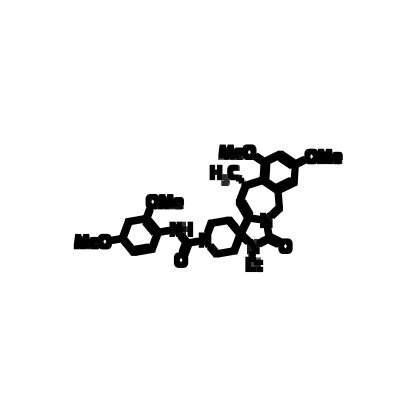 CCN1C(=O)N2Cc3cc(OC)cc(OC)c3[C@@H](C)C=C2C12CCN(C(=O)NC1=C(OC)CC(OC)C=C1)CC2